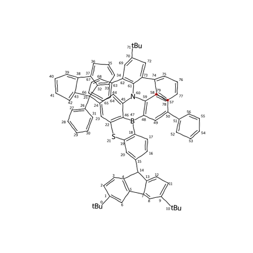 CC(C)(C)c1ccc2c(c1)-c1cc(C(C)(C)C)ccc1C2c1ccc2c(c1)Sc1cc(C3(c4ccccc4)c4ccccc4-c4ccccc43)cc3c1B2c1cc(-c2ccccc2)ccc1N3c1c(-c2ccccc2)cc(C(C)(C)C)cc1-c1ccccc1